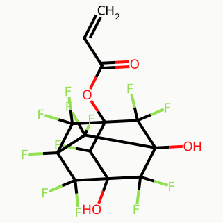 C=CC(=O)OC12C(F)C3(O)C(F)(F)C(O)(C1(F)F)C(F)(F)C(F)(C3(F)F)C2(F)F